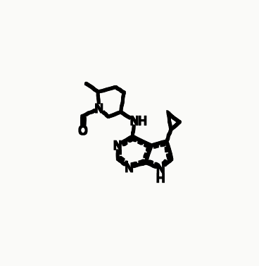 CC1CCC(Nc2ncnc3[nH]cc(C4CC4)c23)CN1C=O